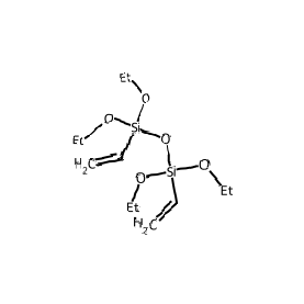 C=C[Si](OCC)(OCC)O[Si](C=C)(OCC)OCC